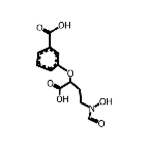 O=CN(O)CCC(Oc1cccc(C(=O)O)c1)C(=O)O